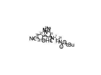 CC(C)(C)OC(=O)N1CC(CN(C=O)c2cc(-c3ccc(C#N)cc3)n3ncnc3c2)C1